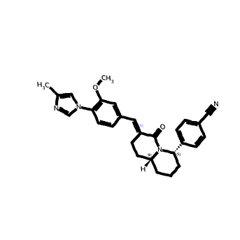 COc1cc(/C=C2\CC[C@H]3CCC[C@@H](c4ccc(C#N)cc4)N3C2=O)ccc1-n1cnc(C)c1